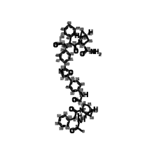 CC(=O)N[C@@H](C(=O)N1[C@H](C(=O)Nc2ccc(-c3cnc(-c4ccc(N(C(C)=O)[C@@H](C(=O)N5[C@H](C(N)=O)C[C@@H]6C[C@@H]65)c5ccccc5)cc4)o3)cc2)C[C@@H]2C[C@@H]21)c1ccccc1